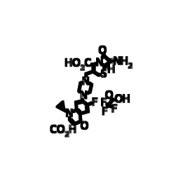 N[C@@H]1C(=O)N2C(C(=O)O)=C(CN3CCN(c4cc5c(cc4F)c(=O)c(C(=O)O)cn5C4CC4)CC3)CS[C@H]12.O=C(O)C(F)(F)F